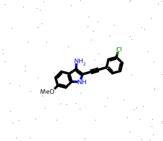 COc1ccc2c(N)c(C#Cc3cccc(Cl)c3)[nH]c2c1